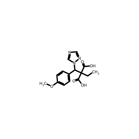 CCC(C(=O)O)(C(=O)O)C(c1ccc(OC)cc1)n1cncn1